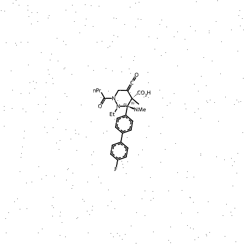 CCCC(=O)N1CC(=C=O)[C@](C)(C(=O)O)[C@](NC)(c2ccc(-c3ccc(F)cc3)cc2)N1CC